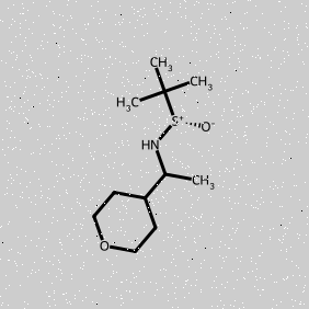 CC(N[S@@+]([O-])C(C)(C)C)C1CCOCC1